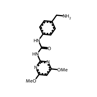 COc1cc(OC)nc(NC(=O)Nc2ccc(CN)cc2)n1